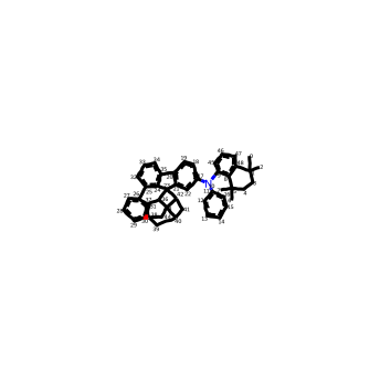 CC1(C)CCC(C)(C)c2c(N(c3ccccc3)c3ccc4c(c3)C3(c5c(-c6ccccc6)cccc5-4)C4CC5CC6CC3C64C5)cccc21